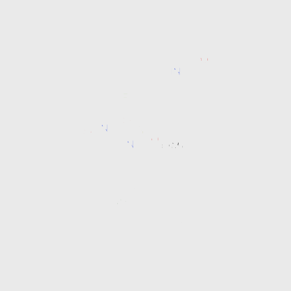 COc1cc(-c2cccc(F)c2)c(Cl)cc1N(c1ccon1)S(=O)(=O)c1cc2ccc(=O)[nH]c2cc1F